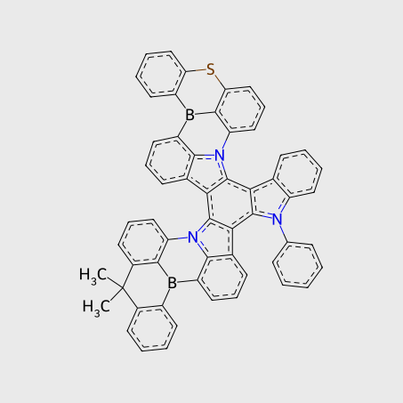 CC1(C)c2ccccc2B2c3c(cccc31)-n1c3c2cccc3c2c3c(c4ccccc4n3-c3ccccc3)c3c(c4cccc5c4n3-c3cccc4c3B5c3ccccc3S4)c21